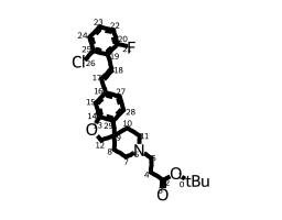 CC(C)(C)OC(=O)CCN1CCC2(CC1)COc1cc(C=Cc3c(F)cccc3Cl)ccc12